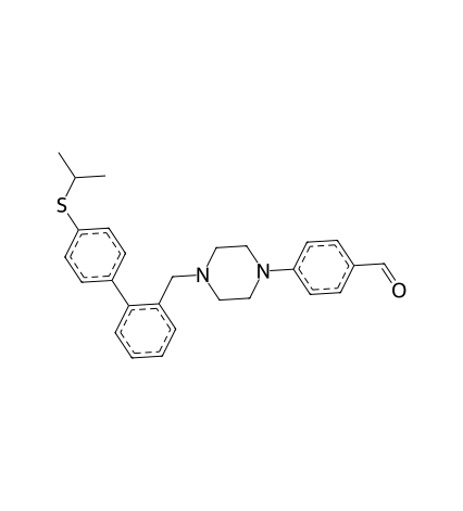 CC(C)Sc1ccc(-c2ccccc2CN2CCN(c3ccc(C=O)cc3)CC2)cc1